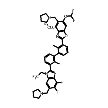 Cc1c(-c2nc3cc(CN4CCC[C@H]4C(=O)O)c(OC(F)F)cc3o2)cccc1-c1cccc(-c2nc3c(F)c(F)c(CN4CCCC4)cc3n2CC(F)(F)F)c1C